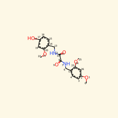 COc1ccc(CNC(=O)C(=O)NCc2ccc(O)cc2OC)c(OC)c1